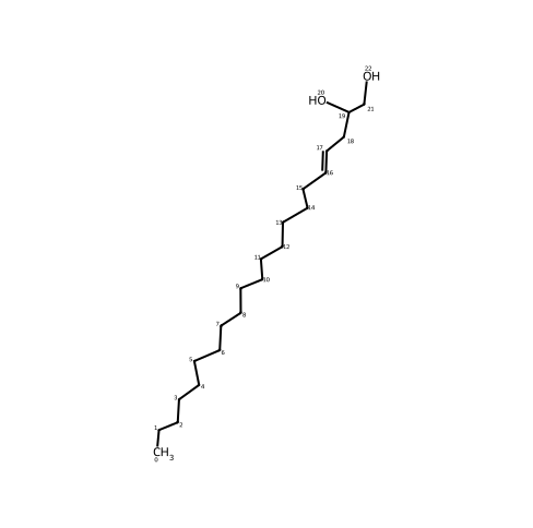 CCCCCCCCCCCCCCCCC=CCC(O)CO